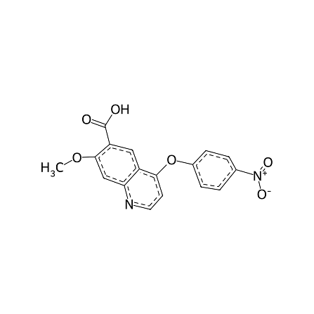 COc1cc2nccc(Oc3ccc([N+](=O)[O-])cc3)c2cc1C(=O)O